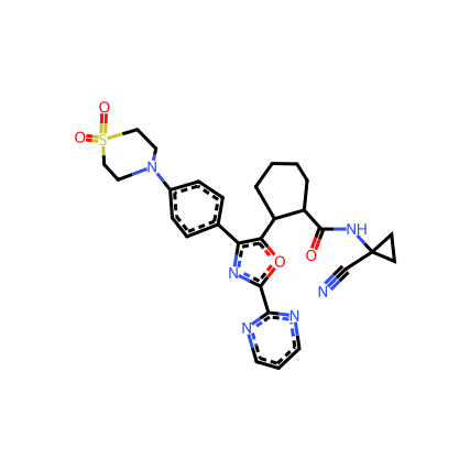 N#CC1(NC(=O)C2CCCCC2c2oc(-c3ncccn3)nc2-c2ccc(N3CCS(=O)(=O)CC3)cc2)CC1